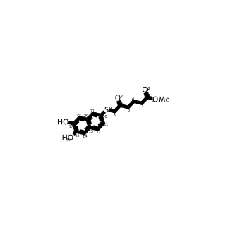 COC(=O)CCCC(=O)CSc1ccc2cc(O)c(O)cc2c1